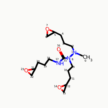 CN(CCCC1CO1)N(CCCC1CO1)C(=O)NCCCC1CO1